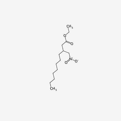 CCCCCCCCC(CC(=O)OCC)C[N+](=O)[O-]